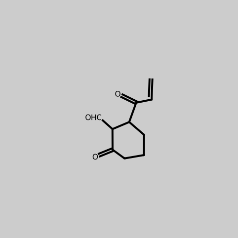 C=CC(=O)C1CCCC(=O)C1C=O